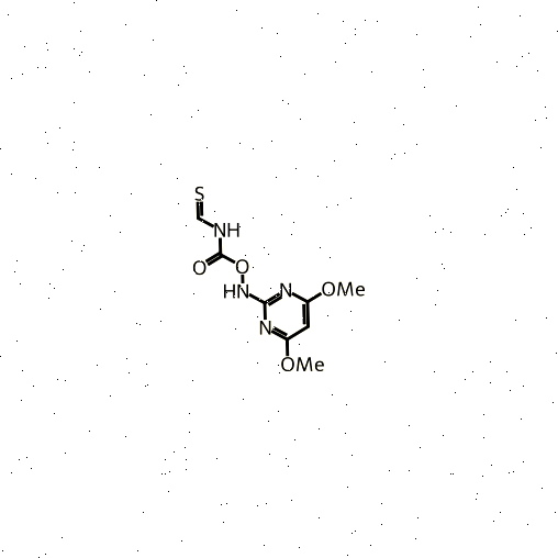 COc1cc(OC)nc(NOC(=O)NC=S)n1